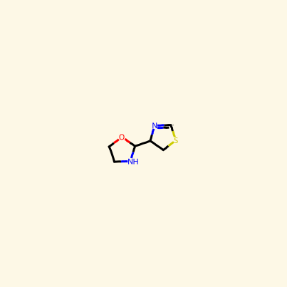 [C]1=NC(C2NCCO2)CS1